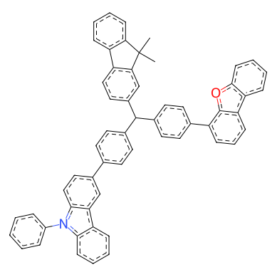 CC1(C)c2ccccc2-c2ccc(C(c3ccc(-c4ccc5c(c4)c4ccccc4n5-c4ccccc4)cc3)c3ccc(-c4cccc5c4oc4ccccc45)cc3)cc21